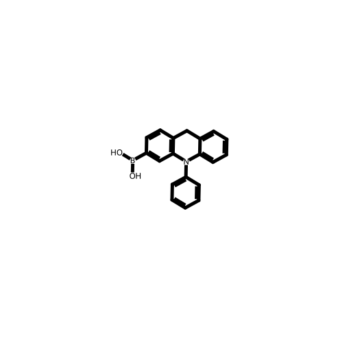 OB(O)c1ccc2c(c1)N(c1ccccc1)c1ccccc1C2